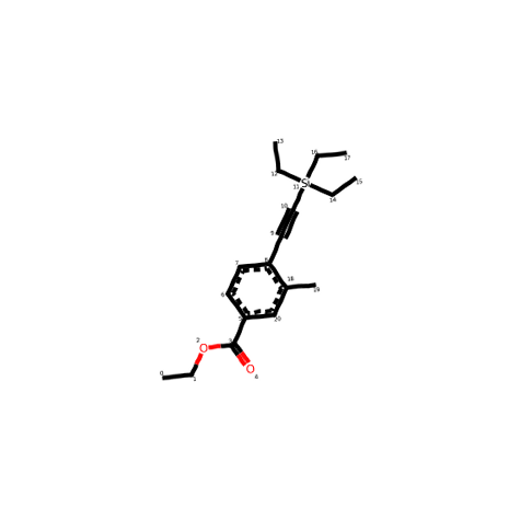 CCOC(=O)c1ccc(C#C[Si](CC)(CC)CC)c(C)c1